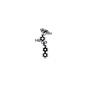 CC(C)(C)C(C)(C(=O)OCC1CCC(OC(=O)/C=C/c2ccc(C3CCCCC3)cc2)C(O)C1)C(C)(C)C